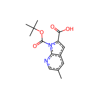 Cc1cnc2c(c1)cc(C(=O)O)n2C(=O)OC(C)(C)C